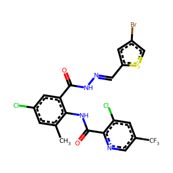 Cc1cc(Cl)cc(C(=O)NN=Cc2cc(Br)cs2)c1NC(=O)c1ncc(C(F)(F)F)cc1Cl